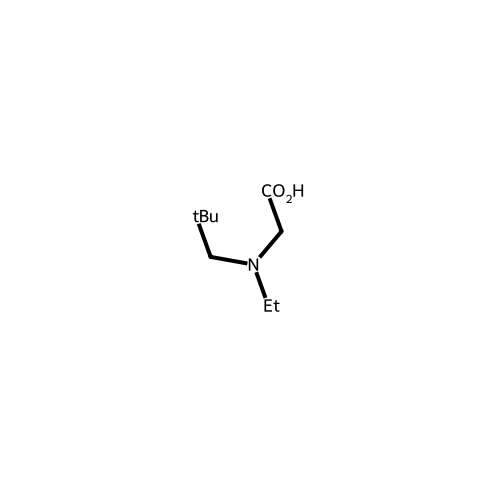 CCN(CC(=O)O)CC(C)(C)C